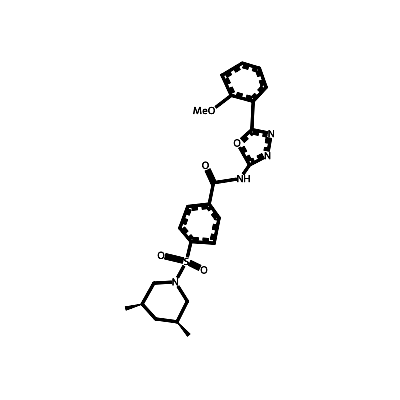 COc1ccccc1-c1nnc(NC(=O)c2ccc(S(=O)(=O)N3C[C@H](C)C[C@H](C)C3)cc2)o1